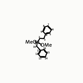 CO[Si](CCc1ccccc1)(Cc1ccccc1)OC